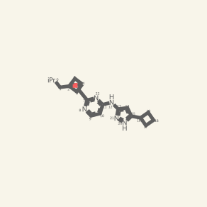 CC(C)CC12CC(C1)N(c1nccc(Nc3cc(C4CCC4)[nH]n3)n1)C2